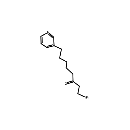 CC(C)CCC(=O)CCCCCc1cccnc1